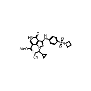 COC(=O)c1c[nH]c(=O)c2c(Nc3ccc(S(=O)(=O)N4CCC4)cc3)nn(C(CC#N)C3CC3)c12